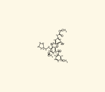 COC(=O)Cc1cc(Br)c(Oc2cc(CCC3CCCC3)c(OC)cc2C(=O)c2cccc(C)c2)c(Br)c1